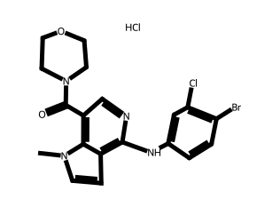 Cl.Cn1ccc2c(Nc3ccc(Br)c(Cl)c3)ncc(C(=O)N3CCOCC3)c21